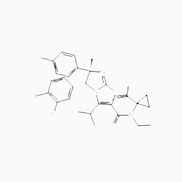 CCN(C(=O)C1=C(C(C)C)N2C(=N[C@@](C)(c3ccc(Cl)cc3)[C@H]2c2ccc(Cl)c(F)c2)S1)C1(C(=O)O)CC1